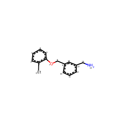 CCc1ccccc1OCc1cccc(CN)c1